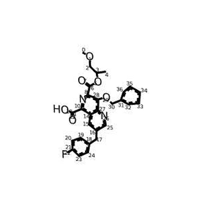 COCC(C)OC(=O)c1nc(C(=O)O)c2cc(Cc3ccc(F)cc3)cnc2c1OCc1ccccc1